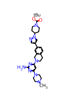 CN1CCN(c2cc(N3CCc4ccc(-c5cnn(C6CCN(C(=O)OC(C)(C)C)CC6)c5)cc4C3)nc(N)n2)CC1